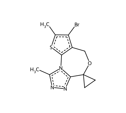 Cc1sc2c(c1Br)COC1(CC1)c1nnc(C)n1-2